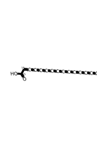 C=C=C=C=C=C=C=C=C=C=C=C=C=C=CC(=O)O